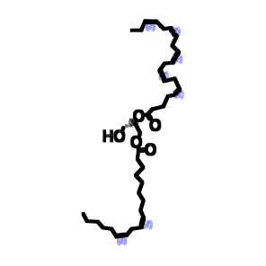 CC/C=C\C/C=C\C/C=C\C/C=C\C/C=C\CCCC(=O)O[C@@H](CO)COC(=O)CCCCCCC/C=C\C/C=C\CCCCC